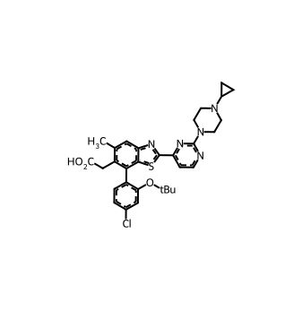 Cc1cc2nc(-c3ccnc(N4CCN(C5CC5)CC4)n3)sc2c(-c2ccc(Cl)cc2OC(C)(C)C)c1CC(=O)O